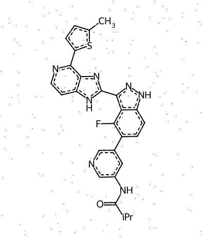 Cc1ccc(-c2nccc3[nH]c(-c4n[nH]c5ccc(-c6cncc(NC(=O)C(C)C)c6)c(F)c45)nc23)s1